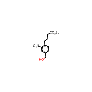 CCOC(=O)CCCc1ccc(CO)cc1[N+](=O)[O-]